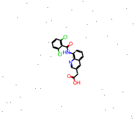 O=C(O)Cc1cnc2c(NC(=O)c3c(Cl)cccc3Cl)cccc2c1